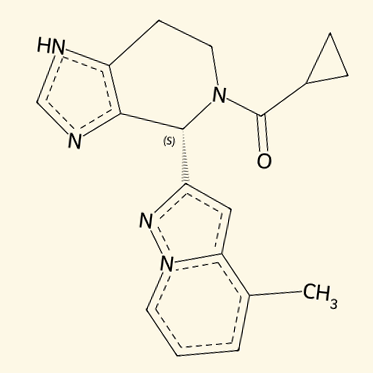 Cc1cccn2nc([C@@H]3c4nc[nH]c4CCN3C(=O)C3CC3)cc12